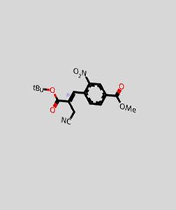 COC(=O)c1ccc(/C=C(\CC#N)C(=O)OC(C)(C)C)c([N+](=O)[O-])c1